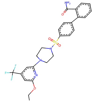 CCOc1cc(C(F)(F)F)cc(N2CCN(S(=O)(=O)c3ccc(-c4ccccc4C(N)=O)cc3)CC2)n1